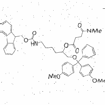 CNC(=O)CCC(=O)OC(CCCCNC(=O)OCC1c2ccccc2-c2ccccc21)COC(c1ccccc1)(c1ccc(OC)cc1)c1ccc(OC)cc1